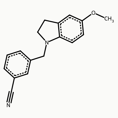 COc1ccc2c(c1)CCN2Cc1cccc(C#N)c1